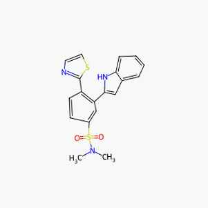 CN(C)S(=O)(=O)c1ccc(-c2nccs2)c(-c2cc3ccccc3[nH]2)c1